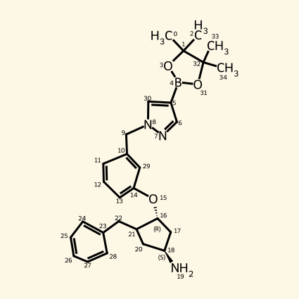 CC1(C)OB(c2cnn(Cc3cccc(O[C@@H]4C[C@@H](N)CC4Cc4ccccc4)c3)c2)OC1(C)C